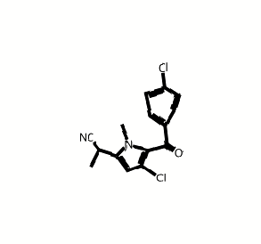 CC(C#N)c1cc(Cl)c(C(=O)c2ccc(Cl)cc2)n1C